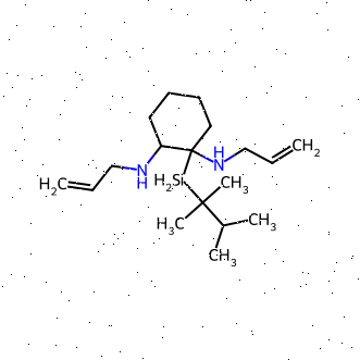 C=CCNC1CCCCC1(NCC=C)[SiH2]C(C)(C)C(C)C